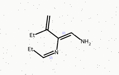 C=C(CC)C(=C/N)/N=C\CC